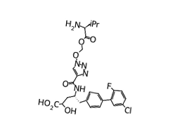 CC(C)[C@H](N)C(=O)OCOn1cc(C(=O)N[C@H](Cc2ccc(-c3cc(Cl)ccc3F)cc2)CC(O)C(=O)O)nn1